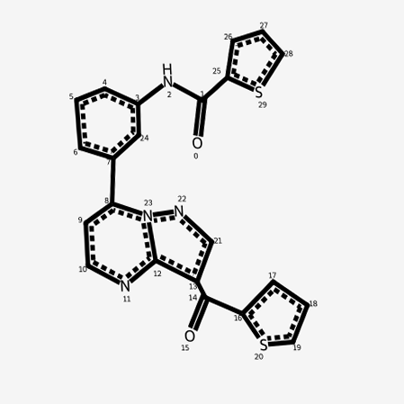 O=C(Nc1cccc(-c2ccnc3c(C(=O)c4cccs4)cnn23)c1)c1cccs1